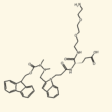 CN(Cc1cc2ccccc2n1CCC(=O)N[C@@H](CCC(=O)O)C(=O)NCCOCCOCCN)N(C)C(=O)OCC1c2ccccc2-c2ccccc21